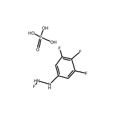 FNNc1cc(F)c(F)c(F)c1.O=P(O)(O)O